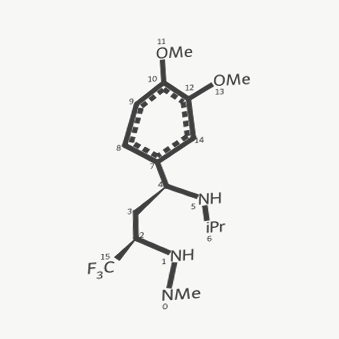 CNN[C@H](C[C@H](NC(C)C)c1ccc(OC)c(OC)c1)C(F)(F)F